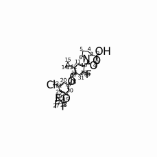 O=C(O)C1CCCN1C(=O)c1cc(C2CC2)c(COc2cc(Cl)cc(OC(F)(F)F)c2)cc1F